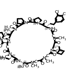 CC[C@H](C)[C@@H]1NC(=O)[C@H](CC(C)C)N(C)C(=O)C[C@@H](C(=O)N2CCCCC2)N(C)C(=O)[C@H](C(C)C)N(C)C(=O)C2(CCCC2)NC(=O)[C@@H]2CCCN2C(=O)[C@H](CCc2ccc(C(F)(F)F)c(Cl)c2)NC(=O)CN(C)C(=O)[C@H](CC2CCC2)N(C)C(=O)CN(C)C(=O)CN(C)C1=O